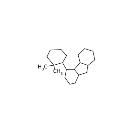 CC1(C)CCCCC1C1CCCC2CC3CCCCC3C21